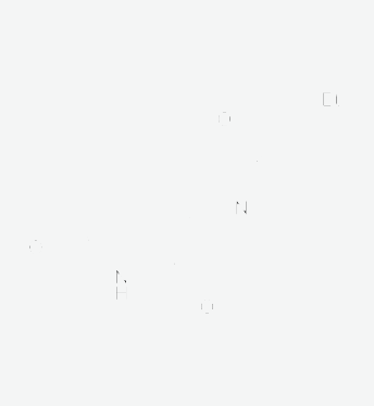 CCc1ccc(C)n(C2CCC(=O)NC2=O)c1=O